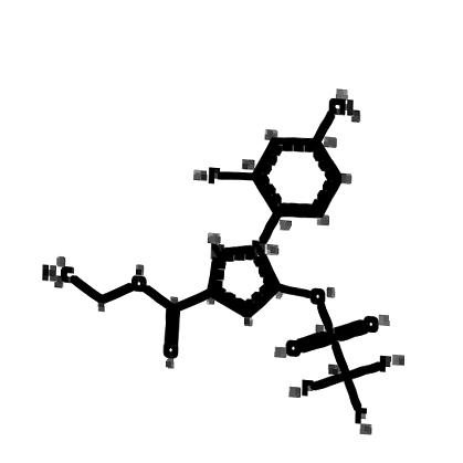 CCOC(=O)c1cc(OS(=O)(=O)C(F)(F)F)n(-c2ccc(C)cc2F)n1